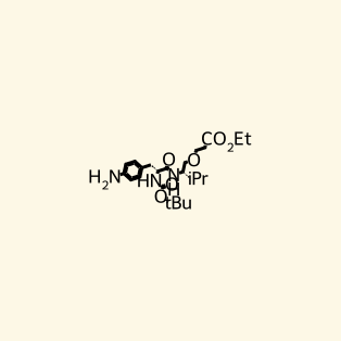 CCOC(=O)CCOC[C@@H](NC(=O)[C@@H](Cc1ccc(N)cc1)NC(=O)OC(C)(C)C)C(C)C